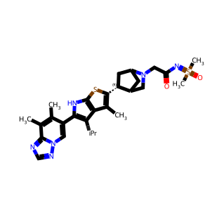 Cc1c(-c2[nH]c3sc([C@@H]4CC5CC4CN5CC(=O)N=S(C)(C)=O)c(C)c3c2C(C)C)cn2ncnc2c1C